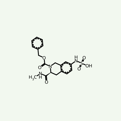 CNC(=O)[C@@H]1Cc2ccc(NS(=O)(=O)O)cc2CN1C(=O)OCc1ccccc1